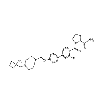 NC(=O)C1CCCN1C(=O)c1ccc(-c2ccc(OCC3CCN(CC4(C(F)(F)F)CCC4)CC3)nc2)cc1F